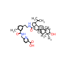 C=C(C)[C@@H]1CC[C@]2(C(=O)NCCc3ccc(C)c(C(=O)NCc4ccc(C(=O)O)cn4)c3)CC[C@]3(C)C(CCC4[C@@]5(C)CC[C@H](O)C(C)(C)C5CC[C@]43C)C12